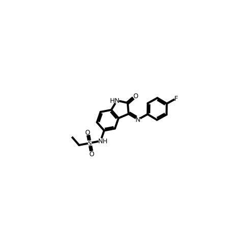 CCS(=O)(=O)Nc1ccc2c(c1)/C(=N/c1ccc(F)cc1)C(=O)N2